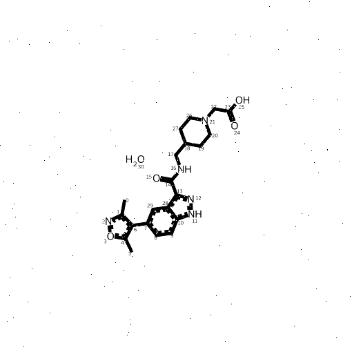 Cc1noc(C)c1-c1ccc2[nH]nc(C(=O)NCC3CCN(CC(=O)O)CC3)c2c1.O